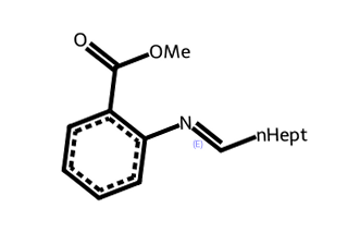 CCCCCCC/C=N/c1ccccc1C(=O)OC